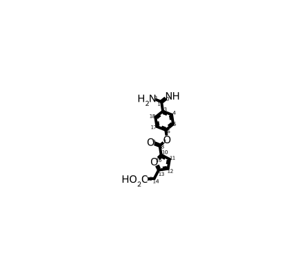 N=C(N)c1ccc(OC(=O)c2ccc(CC(=O)O)o2)cc1